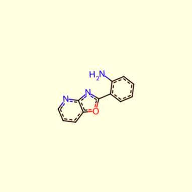 Nc1ccccc1-c1nc2ncccc2o1